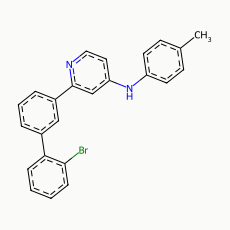 Cc1ccc(Nc2ccnc(-c3cccc(-c4ccccc4Br)c3)c2)cc1